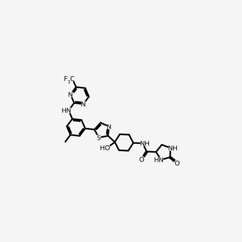 Cc1cc(Nc2nccc(C(F)(F)F)n2)cc(-c2cnc(C3(O)CCC(NC(=O)C4CNC(=O)N4)CC3)s2)c1